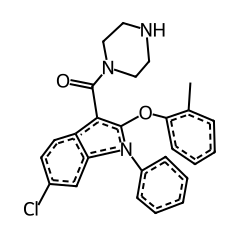 Cc1ccccc1Oc1c(C(=O)N2CCNCC2)c2ccc(Cl)cc2n1-c1ccccc1